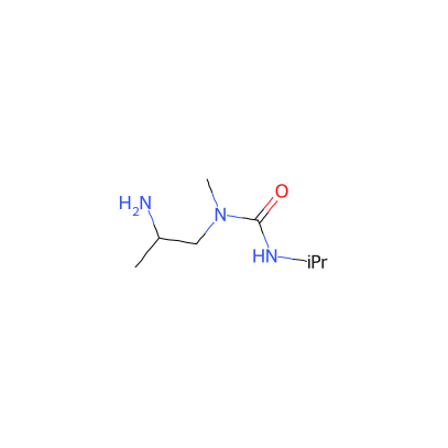 CC(N)CN(C)C(=O)NC(C)C